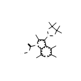 Cc1nc(C)c2c(c1C)c(B1OC(C)(C)C(C)(C)O1)c(C)n2C(=O)OC(C)(C)C